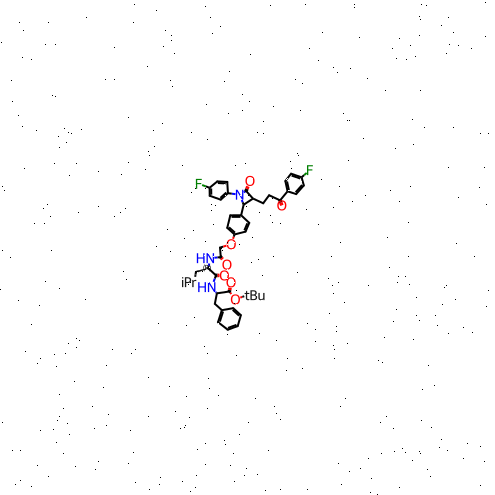 CC(C)C[C@@H](NC(=O)COc1ccc(C2C(CCC(=O)c3ccc(F)cc3)C(=O)N2c2ccc(F)cc2)cc1)C(=O)NC(Cc1ccccc1)C(=O)OC(C)(C)C